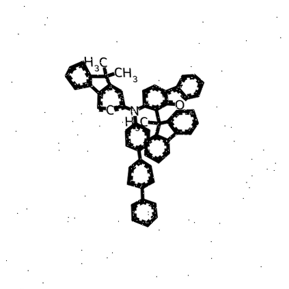 CC1(C)c2ccccc2-c2ccc(N(c3ccc(-c4ccc(-c5ccccc5)cc4)cc3)c3ccc4c(oc5ccccc54)c3C3(C)c4ccccc4-c4ccccc43)cc21